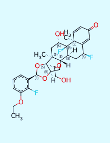 CCOc1cccc([C@@H]2O[C@@H]3C[C@H]4[C@@H]5C[C@H](F)C6=CC(=O)C=C[C@]6(C)[C@@]5(F)[C@@H](O)C[C@]4(C)[C@]3(C(=O)CO)O2)c1F